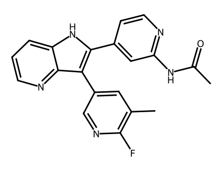 CC(=O)Nc1cc(-c2[nH]c3cccnc3c2-c2cnc(F)c(C)c2)ccn1